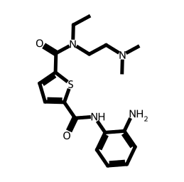 CCN(CCN(C)C)C(=O)c1ccc(C(=O)Nc2ccccc2N)s1